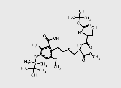 COC(=O)[C@@H](CSCCc1c(OC)cc(O[Si](C)(C)C(C)(C)C)c(C)c1C(=O)O)NC(=O)[C@H](CO)NC(=O)OC(C)(C)C